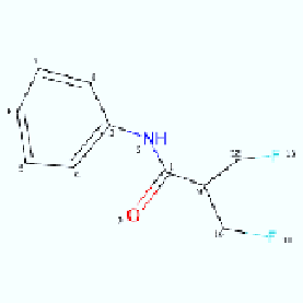 O=C(Nc1ccccc1)C(CF)CF